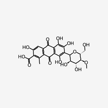 CO[C@H]1[C@H](O)[C@@H](O)C(c2c(O)c(O)c3c(c2O)C(=O)c2c(cc(O)c(C(=O)O)c2C)C3=O)O[C@@H]1CO